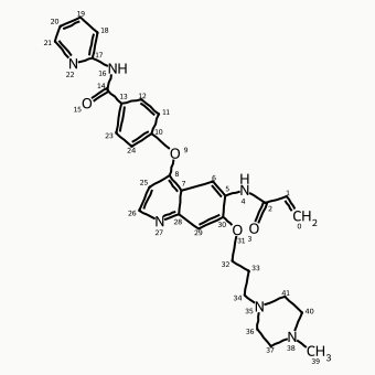 C=CC(=O)Nc1cc2c(Oc3ccc(C(=O)Nc4ccccn4)cc3)ccnc2cc1OCCCN1CCN(C)CC1